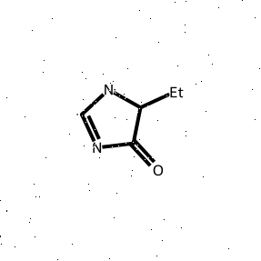 CCC1[N][C]=NC1=O